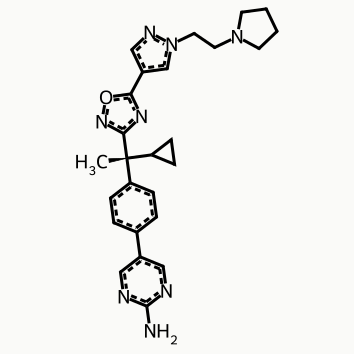 C[C@@](c1ccc(-c2cnc(N)nc2)cc1)(c1noc(-c2cnn(CCN3CCCC3)c2)n1)C1CC1